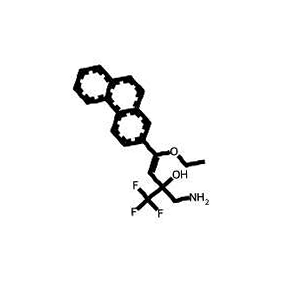 CCO/C(=C\C(O)(CN)C(F)(F)F)c1ccc2c(ccc3ccccc32)c1